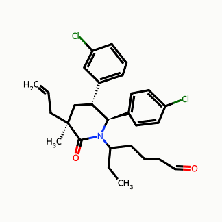 C=CC[C@@]1(C)C[C@H](c2cccc(Cl)c2)[C@@H](c2ccc(Cl)cc2)N(C(CC)CCCC=O)C1=O